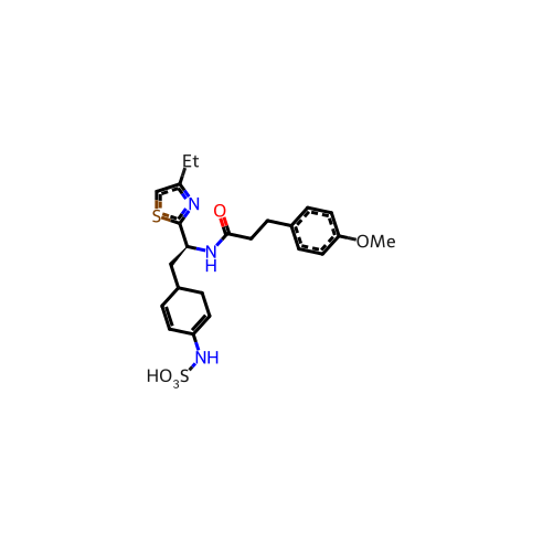 CCc1csc([C@H](CC2C=CC(NS(=O)(=O)O)=CC2)NC(=O)CCc2ccc(OC)cc2)n1